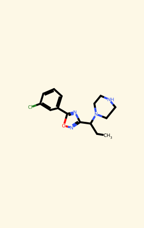 CCC(c1noc(-c2cccc(Cl)c2)n1)N1CCNCC1